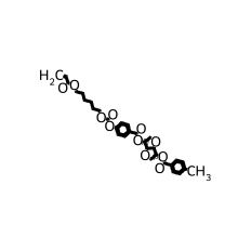 C=CC(=O)OCCCCCCOC(=O)Oc1ccc(C(=O)O[C@H]2COC3C2OC[C@@H]3OC(=O)c2ccc(C)cc2)cc1